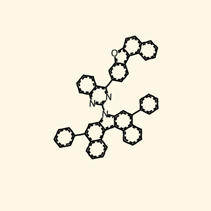 c1ccc(-c2cc3c(c4ccccc24)c2c4ccccc4c(-c4ccccc4)cc2n3-c2nc(-c3ccc4c(c3)oc3ccc5ccccc5c34)c3ccccc3n2)cc1